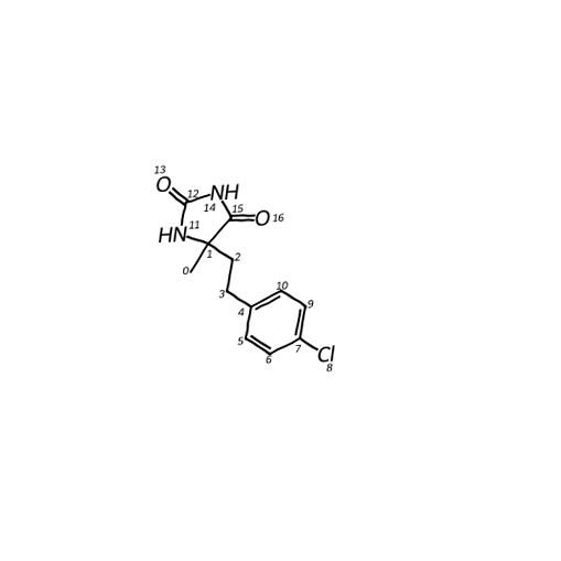 CC1(CCc2ccc(Cl)cc2)NC(=O)NC1=O